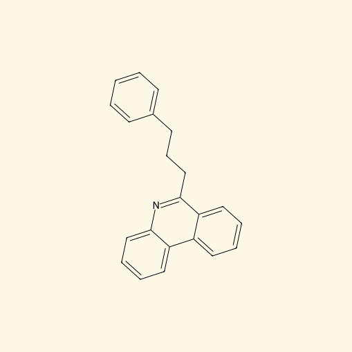 c1ccc(CCCc2nc3ccccc3c3ccccc23)cc1